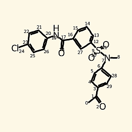 CC(=O)c1ccc(N(C)S(=O)(=O)c2cccc(C(=O)Nc3ccc(Cl)cc3)c2)cc1